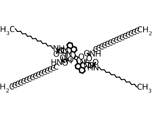 C=C=C=C=C=C=C=C=C=C=C=C=C=C=C=C=CNC(=O)OCC1(COC(=O)NCCCCCCCCCCCCCCCCC)N=c2/c(=C3\C(=O)C(c4ccc5cccc6c5c4NC(COC(=O)NC=C=C=C=C=C=C=C=C=C=C=C=C=C=C=C=C)(COC(=O)NCCCCCCCCCCCCCCCCC)N6)=C3O)ccc3cccc(c23)N1